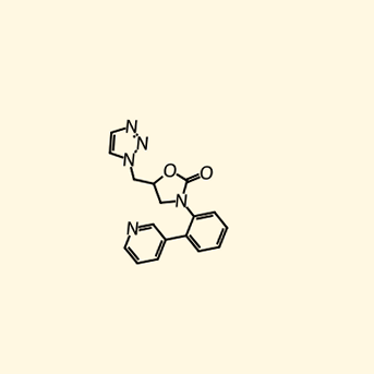 O=C1OC(Cn2ccnn2)CN1c1ccccc1-c1cccnc1